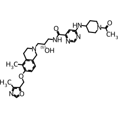 CC(=O)N1CCC(Nc2cc(C(=O)NC[C@H](O)CN3CCc4c(ccc(OCc5ocnc5C)c4C)C3)ncn2)CC1